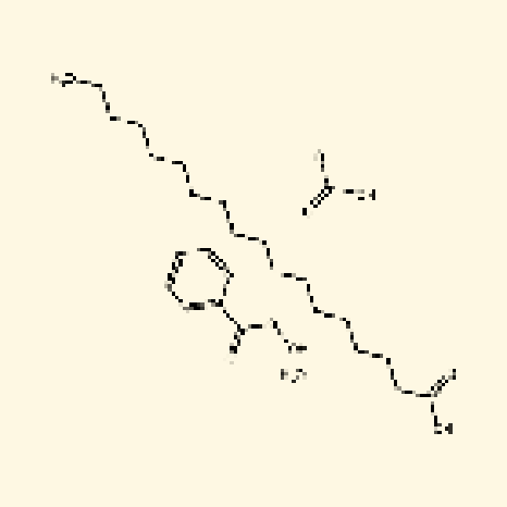 CCCCCCCCCCCCCCCCCC(=O)O.O.O=C(O)O.O=C(OO)c1ccccc1